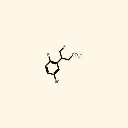 O=C(O)CC(CF)c1cc(Br)ccc1F